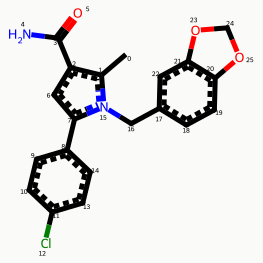 Cc1c(C(N)=O)cc(-c2ccc(Cl)cc2)n1Cc1ccc2c(c1)OCO2